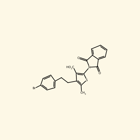 Cc1sc(N2C(=O)c3ccccc3C2=O)c(C(=O)O)c1CCc1ccc(Br)cc1